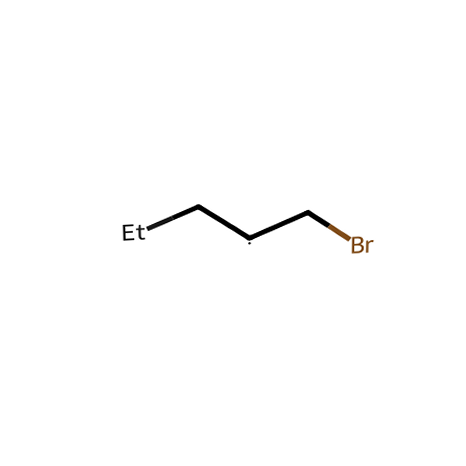 CCC[CH]CBr